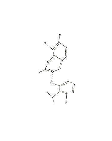 Cc1nc2c(F)c(F)ccc2cc1Oc1cccc(F)c1C(C)C